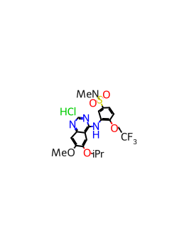 CNS(=O)(=O)c1ccc(OCC(F)(F)F)c(Nc2ncnc3cc(OC)c(OC(C)C)cc23)c1.Cl